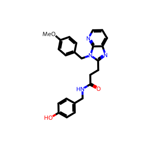 COc1ccc(Cn2c(CCC(=O)NCc3ccc(O)cc3)nc3cccnc32)cc1